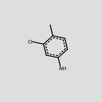 Cc1ccc([NH])cc1Cl